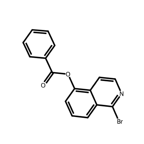 O=C(Oc1cccc2c(Br)nccc12)c1ccccc1